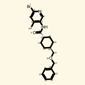 O=C(Nc1cnc(Br)cc1I)[C@H]1CC[C@H](COCc2ccccc2)CC1